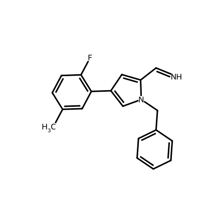 Cc1ccc(F)c(-c2cc(C=N)n(Cc3ccccc3)c2)c1